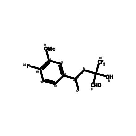 COc1cc(C(C)CC(O)(C=O)C(F)(F)F)ccc1F